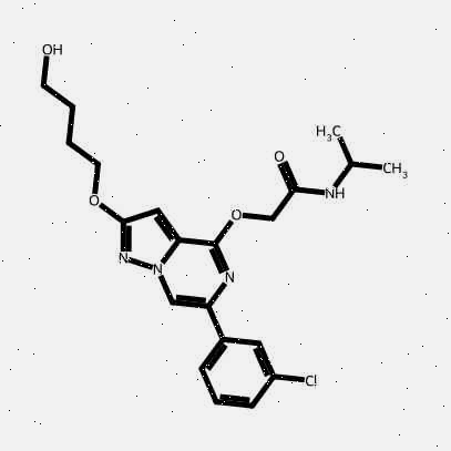 CC(C)NC(=O)COc1nc(-c2cccc(Cl)c2)cn2nc(OCCCCO)cc12